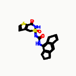 O=C(N=S1(=O)Cc2ccsc2C(=O)N1)Nc1c2c(cc3c1CCC3)CCC2